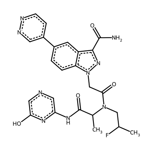 CC(F)CN(C(=O)Cn1nc(C(N)=O)c2cc(-c3ccnnc3)ccc21)C(C)C(=O)Nc1cncc(O)n1